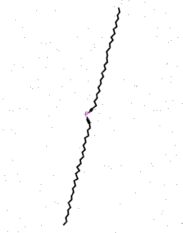 CCCCCCCCCCCCCCCCCCCCCCCCCCCCC#C[P]C#CCCCCCCCCCCCCCCCCCCCCCCCCCCCC